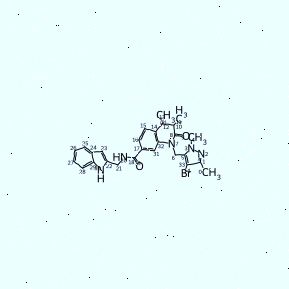 Cc1nn(C)c(CN2C(=O)C(C)[C@@H](C)c3ccc(C(=O)NCc4cc5ccccc5[nH]4)cc32)c1Br